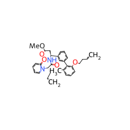 C=CCCOc1cccc(C)c1-c1cccc([C@H](CC(=O)OC)NC(=O)[C@H](CC=C)n2ccccc2=O)c1